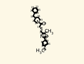 CSc1ccc(-c2nc(CSCC(=O)N3CCC(Cc4ccccc4)CC3)c(C)o2)cc1